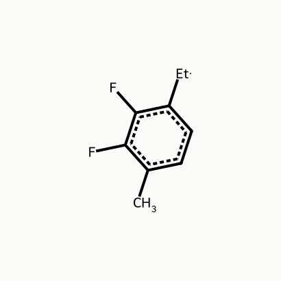 C[CH]c1ccc(C)c(F)c1F